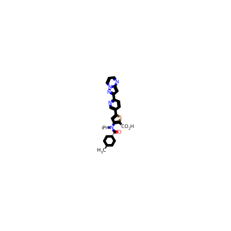 CC(C)N(c1cc(-c2ccc(-c3cc4ncccn4n3)nc2)sc1C(=O)O)C(=O)[C@H]1CC[C@H](C)CC1